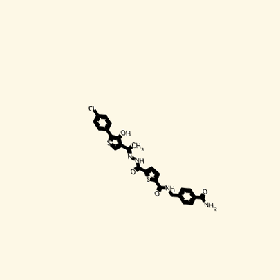 C/C(=N\NC(=O)c1ccc(C(=O)NCc2ccc(C(N)=O)cc2)s1)c1csc(-c2ccc(Cl)cc2)c1O